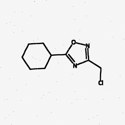 ClCc1noc(C2CCCCC2)n1